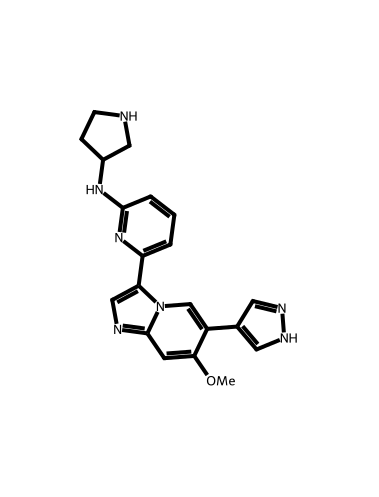 COc1cc2ncc(-c3cccc(NC4CCNC4)n3)n2cc1-c1cn[nH]c1